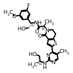 COc1cc(F)cc([C@@H](CO)NC(=O)[C@@H](C)N2CCc3sc(-c4nc(N[C@@H](C)CO)ncc4C)cc3C2=O)c1